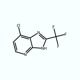 FC(F)(F)c1nc2c(Cl)ccnc2[nH]1